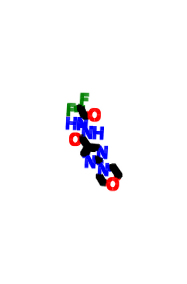 O=C(NNC(=O)C(F)F)c1cnc(N2CCOCC2)nc1